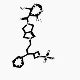 Cc1ncnc(C)c1C(=O)N1CC2=CN(CCC(c3ccccc3)C3CN(S(=O)(=O)C(C)C)C3)CC2C1